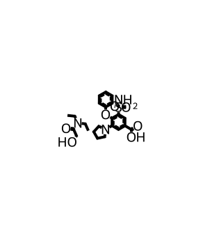 CCN(CC)C(=O)CO.NS(=O)(=O)c1cc(C(=O)O)cc(N2CCCC2)c1Oc1ccccc1